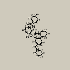 Cc1ccc(S(=O)(=O)N2C=CNC(=O)[C@H]2CC(=O)N2CCCCC2c2ccc(CN3CCCCC3)cc2)cc1